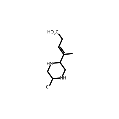 CC(=CCC(=O)O)C1CNC(Cl)CN1